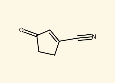 N#CC1=CC(=O)CC1